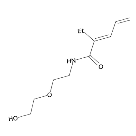 C=C/C=C(\CC)C(=O)NCCOCCO